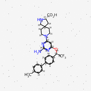 Cc1ccc(-c2ccc([C@@H](Oc3cc(N4CCC5(CC4)CN[C@H](C(=O)O)C5)nc(N)n3)C(F)(F)F)cc2)cc1